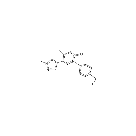 Cc1cc(=O)n(-c2ccc(CF)cc2)cc1-c1cnn(C)c1